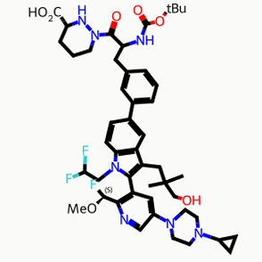 CO[C@@H](C)c1ncc(N2CCN(C3CC3)CC2)cc1-c1c(CC(C)(C)CO)c2cc(-c3cccc(CC(NC(=O)OC(C)(C)C)C(=O)N4CCCC(C(=O)O)N4)c3)ccc2n1C(F)C(F)F